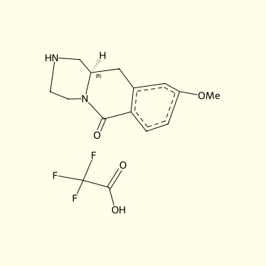 COc1ccc2c(c1)C[C@@H]1CNCCN1C2=O.O=C(O)C(F)(F)F